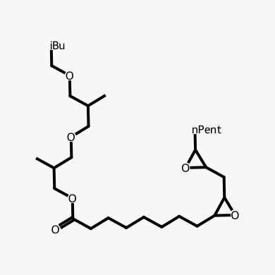 CCCCCC1OC1CC1OC1CCCCCCCC(=O)OCC(C)COCC(C)COCC(C)CC